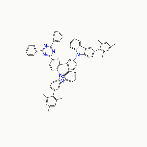 Cc1cc(C)c(-c2ccc3c(c2)c2ccccc2n3-c2ccc(C#N)c(-c3cc(-c4nc(-c5ccccc5)nc(-c5ccccc5)n4)ccc3-n3c4ccccc4c4cc(-c5c(C)cc(C)cc5C)ccc43)c2)c(C)c1